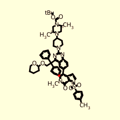 Cc1ccc(S(=O)(=O)n2ccc3c(-c4ccc5nc(N6CCC(N7C[C@@H](C)N(C(=O)OC(C)(C)C)C[C@@H]7C)CC6)nc(C(COC6CCCCO6)(c6ccccc6)c6ccccc6)c5c4)cn(C)c(=O)c32)cc1